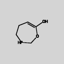 OC1=CCCPCO1